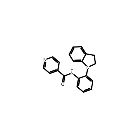 O=C(Nc1ccccc1N1CCc2ccccc21)c1ccncc1